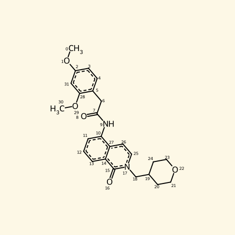 COc1ccc(CC(=O)Nc2cccc3c(=O)n(CC4CCOCC4)ccc23)c(OC)c1